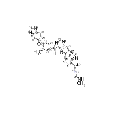 CNC/C=C/C(=O)N1CCN2C[C@H]1COc1cc3ncnc(Nc4ccc(Oc5ccn6ncnc6c5)c(C)c4)c3nc12